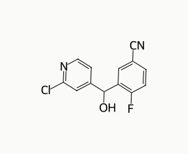 N#Cc1ccc(F)c(C(O)c2ccnc(Cl)c2)c1